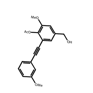 COc1cccc(C#Cc2cc(CO)cc(OC)c2OC(C)=O)c1